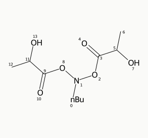 CCCCN(OC(=O)C(C)O)OC(=O)C(C)O